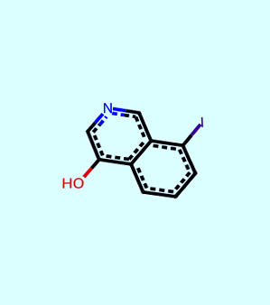 Oc1cncc2c(I)cccc12